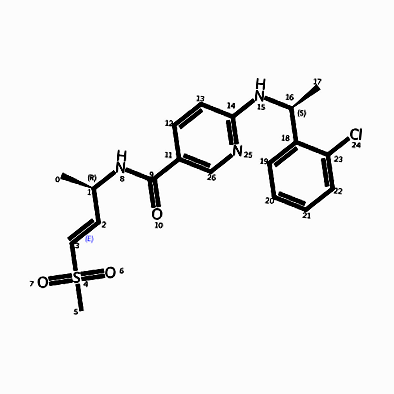 C[C@H](/C=C/S(C)(=O)=O)NC(=O)c1ccc(N[C@@H](C)c2ccccc2Cl)nc1